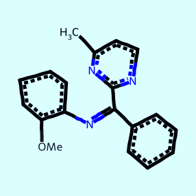 COc1ccccc1N=C(c1ccccc1)c1nccc(C)n1